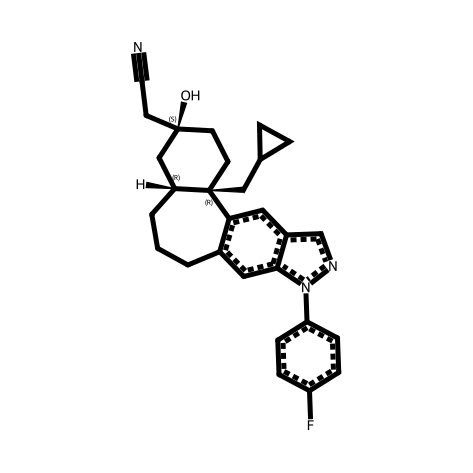 N#CC[C@]1(O)CC[C@]2(CC3CC3)c3cc4cnn(-c5ccc(F)cc5)c4cc3CCC[C@@H]2C1